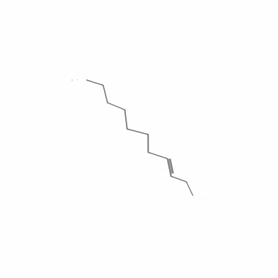 CCCCCCCCCCC/C=C/CCCCCCCCCCCCCCCC